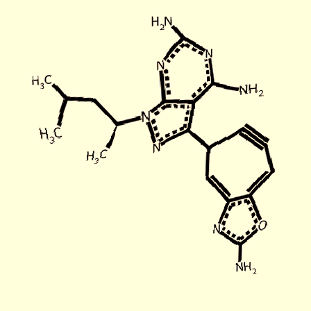 CC(C)C[C@H](C)n1nc(C2C#CC=c3oc(N)nc3=C2)c2c(N)nc(N)nc21